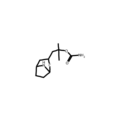 CC(C)(CC1CC2CCC(C1)N2)OC(N)=O